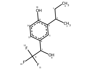 CCC(C)c1cc(C(O)C(F)(F)F)ccc1O